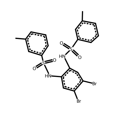 Cc1cccc(S(=O)(=O)Nc2cc(Br)c(Br)cc2NS(=O)(=O)c2cccc(C)c2)c1